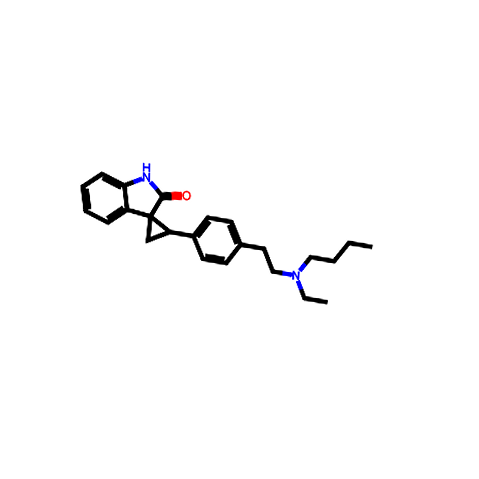 CCCCN(CC)CCc1ccc(C2CC23C(=O)Nc2ccccc23)cc1